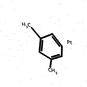 Cc1cccc(C)c1.[Pt]